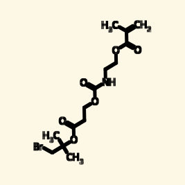 C=C(C)C(=O)OCCNC(=O)OCCC(=O)OC(C)(C)CBr